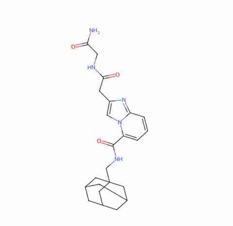 NC(=O)CNC(=O)Cc1cn2c(C(=O)NCC34CC5CC(CC(C5)C3)C4)cccc2n1